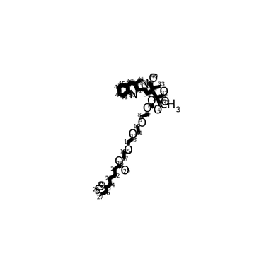 CCC1(OC(=O)OCCOCCOCCOCCOC(=O)CCCCC2CCSS2)C(=O)OCc2c1cc1n(c2=O)Cc2cc3ccccc3nc2-1